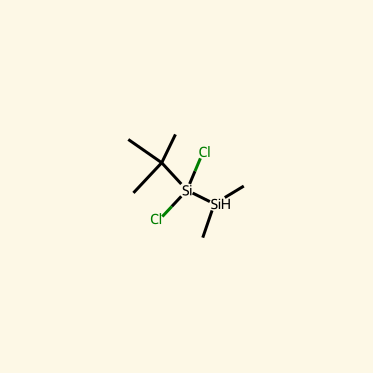 C[SiH](C)[Si](Cl)(Cl)C(C)(C)C